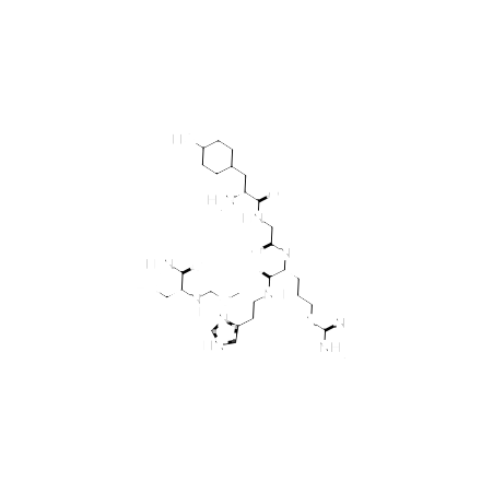 N=C(N)NCCC[C@H](NC(=O)CNC(=O)[C@@H](N)CC1CCC(O)CC1)C(=O)N[C@@H](COCN[C@@H](CO)C(N)=O)Cc1c[nH]cn1